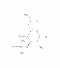 COC(=O)C[C@@H]1OC(O)[C@H](C)[C@@H](O[Si](C)(C)C(C)(C)C)[C@H]1C